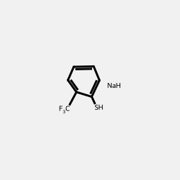 FC(F)(F)c1ccccc1S.[NaH]